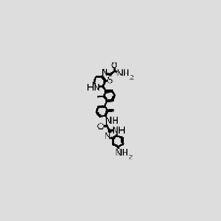 Cc1c(NC(=O)c2nc3cc(N)ccc3[nH]2)cccc1-c1cccc(C2NCCc3nc(C(N)=O)sc32)c1C